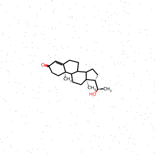 C[C@@H](O)[C@H]1CCC2C3CCC4=CC(=O)CC[C@]4(C)C3CC[C@@]21C